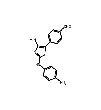 Nc1ccc(Nc2nc(N)c(-c3ccc(C=O)cc3)s2)cc1